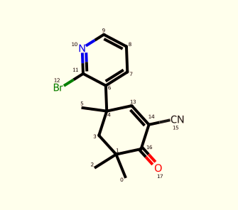 CC1(C)CC(C)(c2cccnc2Br)C=C(C#N)C1=O